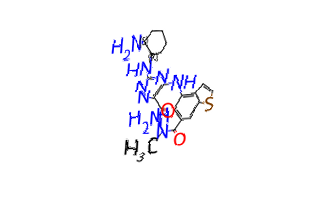 CNC(=O)c1cc(Nc2nc(N[C@@H]3CCCC[C@@H]3N)nnc2C(N)=O)c2ccsc2c1